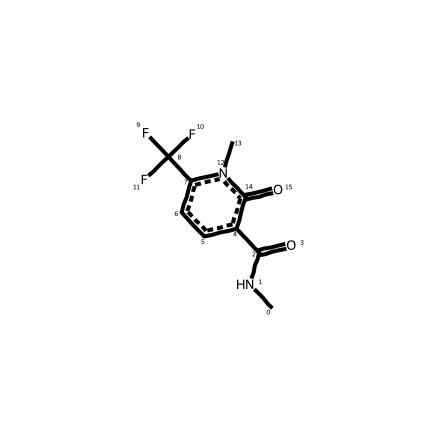 CNC(=O)c1ccc(C(F)(F)F)n(C)c1=O